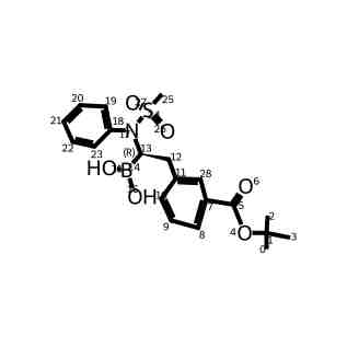 CC(C)(C)OC(=O)c1cccc(C[C@@H](B(O)O)N(c2ccccc2)S(C)(=O)=O)c1